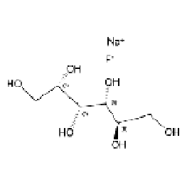 OC[C@@H](O)[C@@H](O)[C@H](O)[C@@H](O)CO.[F-].[Na+]